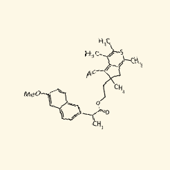 COc1ccc2cc(C(C)C(=O)OCCC3(C)CC4=C(C)SC(C)=C(C)C4=C3C(C)=O)ccc2c1